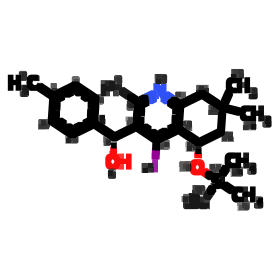 Cc1ccc([C@@H](O)c2c(C(C)C)nc3c(c2I)[C@@H](O[Si](C)(C)C(C)(C)C)CC(C)(C)C3)cc1